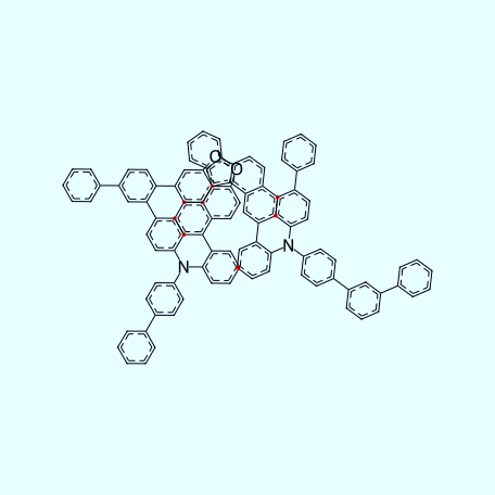 c1ccc(-c2ccc(N(c3ccc(-c4cccc(-c5ccccc5)c4)cc3)c3ccccc3-c3ccc4ccc5oc6cc(-c7ccc(-c8ccccc8)cc7-c7ccc(N(c8ccc(-c9ccccc9)cc8)c8ccccc8-c8cccc9c8ccc8oc%10ccccc%10c89)cc7)ccc6c5c4c3)cc2)cc1